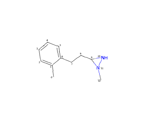 Cc1ccccc1CCC1NN1C